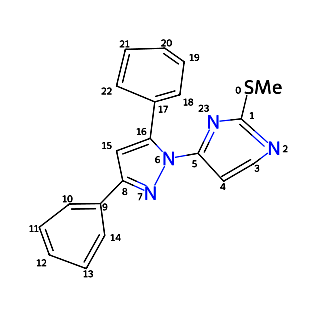 CSc1nccc(-n2nc(-c3ccccc3)cc2-c2ccccc2)n1